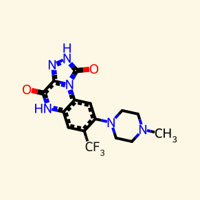 CN1CCN(c2cc3c(cc2C(F)(F)F)[nH]c(=O)c2n[nH]c(=O)n23)CC1